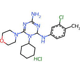 Cc1ccc(NC2N=C(N)N=C(N3CCOCC3)N2C2CCCCC2)cc1Cl.Cl